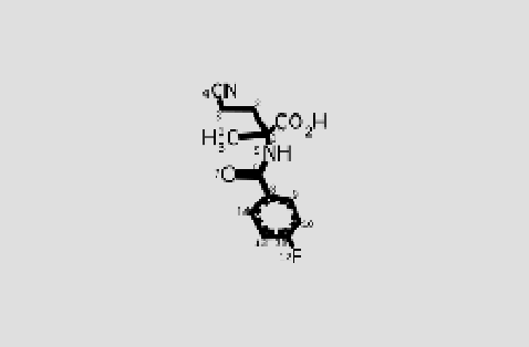 CC(CCC#N)(NC(=O)c1ccc(F)cc1)C(=O)O